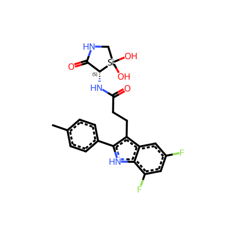 Cc1ccc(-c2[nH]c3c(F)cc(F)cc3c2CCC(=O)N[C@@H]2C(=O)NC[Si]2(O)O)cc1